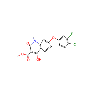 COC(=O)c1c(O)c2ccc(Oc3ccc(Cl)c(F)c3)cc2n(C)c1=O